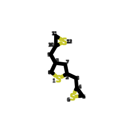 C1SC(CC2CS2)CC1CC1CS1